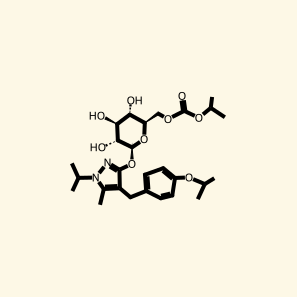 Cc1c(Cc2ccc(OC(C)C)cc2)c(O[C@@H]2O[C@H](COC(=O)OC(C)C)[C@@H](O)[C@H](O)[C@H]2O)nn1C(C)C